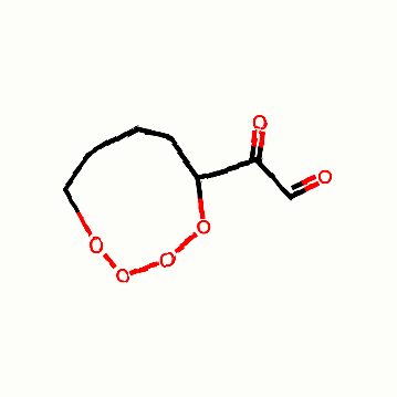 O=CC(=O)C1CCCCOOOO1